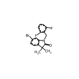 CC1(C)C(=O)N(Cc2c(F)cccc2F)c2cc(Br)ccc21